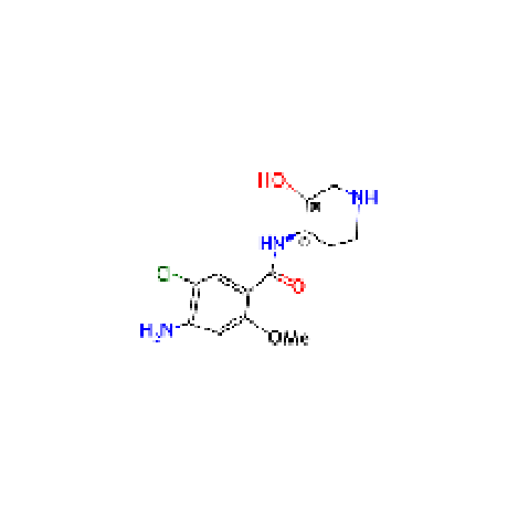 COc1cc(N)c(Cl)cc1C(=O)N[C@@H]1CCNC[C@H]1O